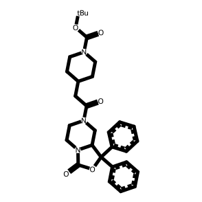 CC(C)(C)OC(=O)N1CCC(CC(=O)N2CCN3C(=O)OC(c4ccccc4)(c4ccccc4)C3C2)CC1